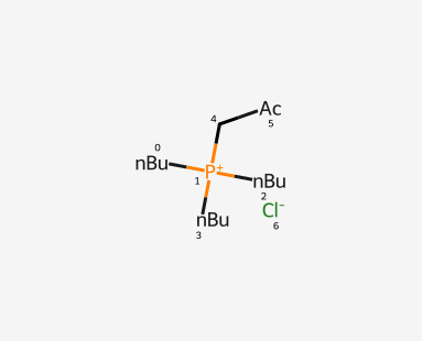 CCCC[P+](CCCC)(CCCC)CC(C)=O.[Cl-]